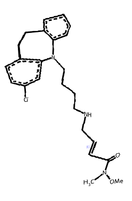 CON(C)C(=O)/C=C/CNCCCCN1c2ccccc2CCc2ccc(Cl)cc21